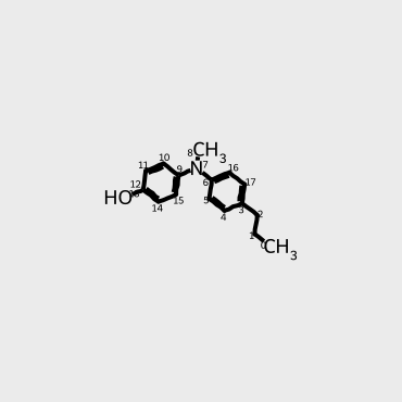 CCCc1ccc(N(C)c2ccc(O)cc2)cc1